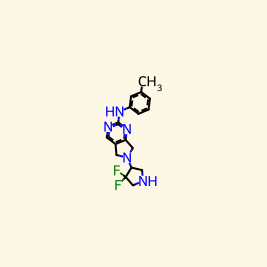 Cc1cccc(Nc2ncc3c(n2)CN(C2CNCC2(F)F)C3)c1